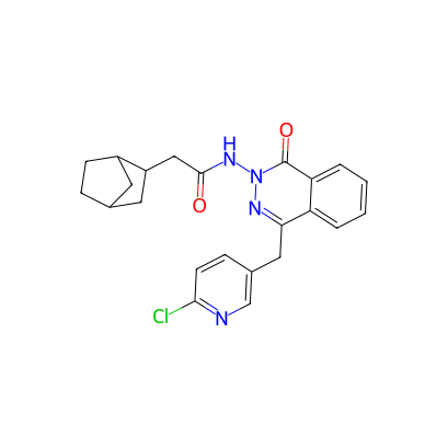 O=C(CC1CC2CCC1C2)Nn1nc(Cc2ccc(Cl)nc2)c2ccccc2c1=O